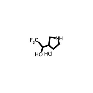 Cl.OC(C1CCNC1)C(F)(F)F